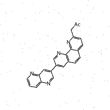 CC(=O)Cc1ccc2ccc3cc(-c4cnc5cccnc5c4)cnc3c2n1